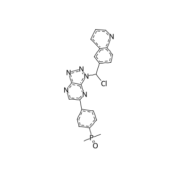 CP(C)(=O)c1ccc(-c2cnc3nnn(C(Cl)c4ccc5ncccc5c4)c3n2)cc1